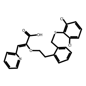 O=C(O)C(=Cc1ccccn1)OCCc1ccccc1CSc1c(Cl)cccc1Cl